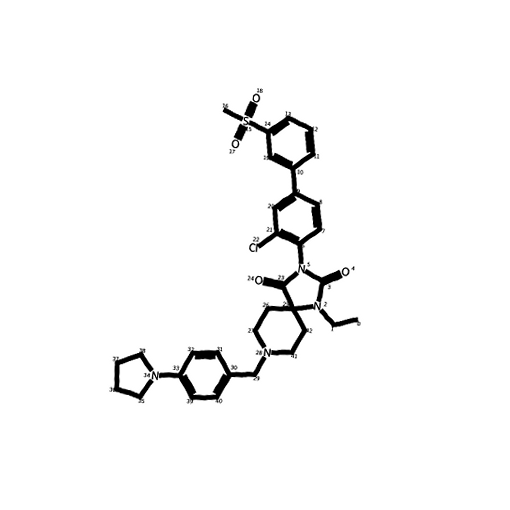 CCN1C(=O)N(c2ccc(-c3cccc(S(C)(=O)=O)c3)cc2Cl)C(=O)C12CCN(Cc1ccc(N3CCCC3)cc1)CC2